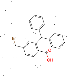 O=C(O)c1ccc(CBr)cc1C(c1ccccc1)c1ccccc1